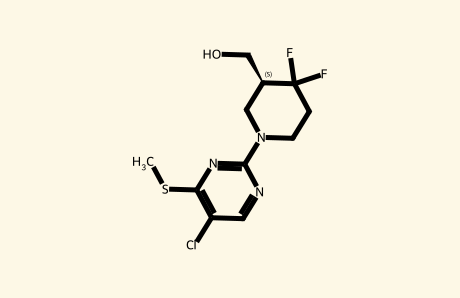 CSc1nc(N2CCC(F)(F)[C@H](CO)C2)ncc1Cl